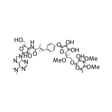 CO/C(CO[C@H]1O[C@H](C)[C@@H](OC)[C@H](OC)[C@@H]1O)=C1\O[C@@H](Oc2ccc(/C=C(\C)C(=O)N[C@H]3[C@@H](O)[C@H](n4cnc5c(N(C)C)ncnc54)O[C@@H]3CO)cc2)[C@@H](O)[C@@H]1O